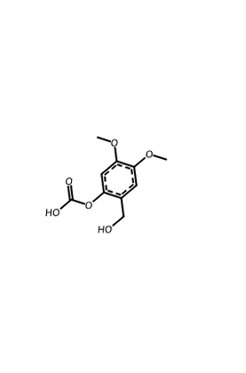 COc1cc(CO)c(OC(=O)O)cc1OC